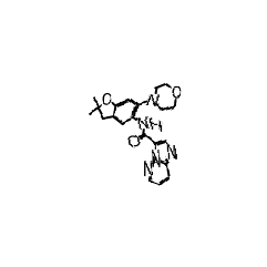 CC1(C)Cc2cc(NC(=O)c3cnc4cccnn34)c(N3CCOCC3)cc2O1